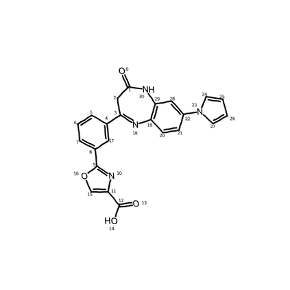 O=C1CC(c2cccc(-c3nc(C(=O)O)co3)c2)=Nc2ccc(-n3cccc3)cc2N1